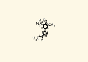 CCNc1nnc(-c2cc(C)c(OC)c(C)c2)s1